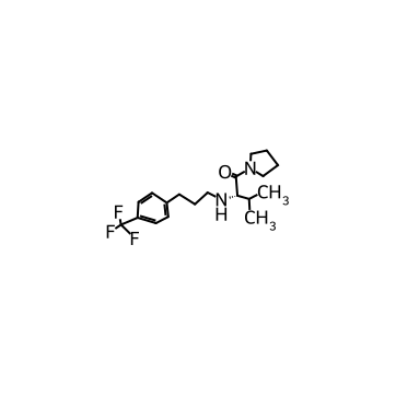 CC(C)[C@H](NCCCc1ccc(C(F)(F)F)cc1)C(=O)N1CCCC1